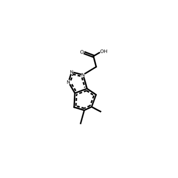 Cc1cc2nnn(CC(=O)O)c2cc1C